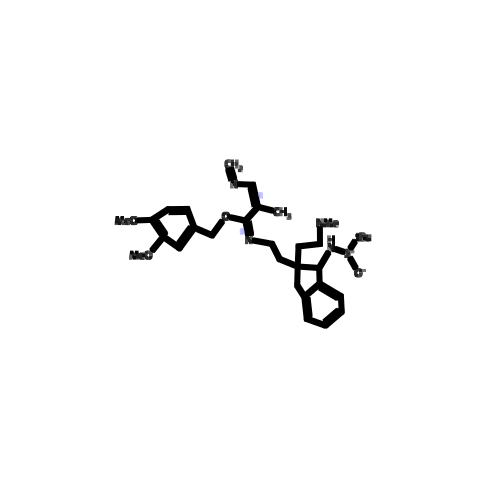 C=N/C=C(C)\C(=N/CCC1(CCNC)Cc2ccccc2C1N[S+]([O-])C(C)(C)C)OCc1ccc(OC)c(OC)c1